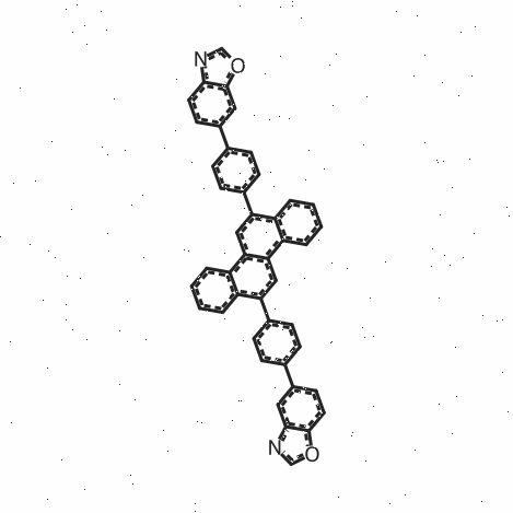 c1ccc2c(c1)c(-c1ccc(-c3ccc4ocnc4c3)cc1)cc1c3ccccc3c(-c3ccc(-c4ccc5ncoc5c4)cc3)cc21